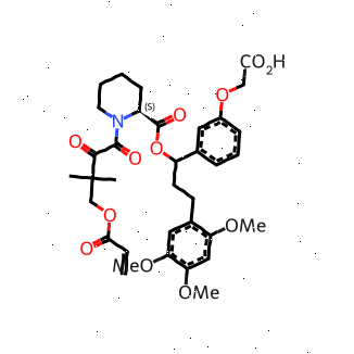 C=CC(=O)OCC(C)(C)C(=O)C(=O)N1CCCC[C@H]1C(=O)OC(CCc1cc(OC)c(OC)cc1OC)c1cccc(OCC(=O)O)c1